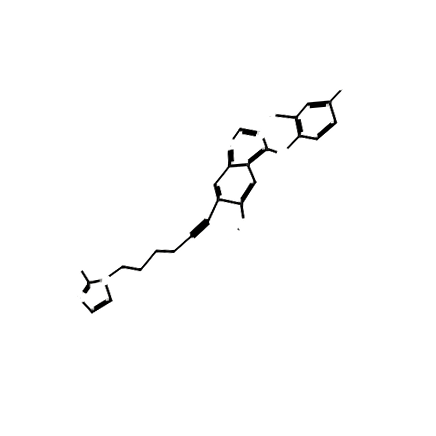 COc1cc2c(Oc3ccc(F)cc3Br)ncnc2cc1C#CCCCCn1ccnc1C